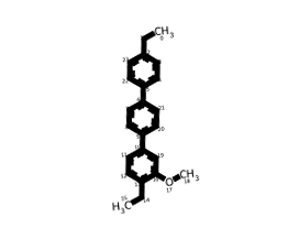 CCc1ccc(-c2ccc(-c3ccc(CC)c(OC)c3)cc2)cc1